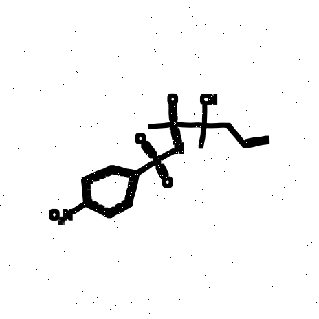 C=CCC(C)(C#N)S(C)(=O)=NS(=O)(=O)c1ccc([N+](=O)[O-])cc1